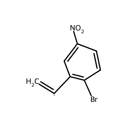 C=[C]c1cc([N+](=O)[O-])ccc1Br